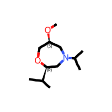 CO[C@@H]1CO[C@H](C(C)C)CN(C(C)C)C1